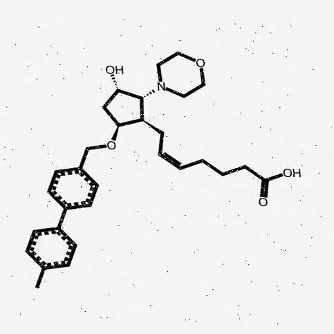 Cc1ccc(-c2ccc(CO[C@H]3C[C@H](O)[C@H](N4CCOCC4)[C@H]3C/C=C\CCCC(=O)O)cc2)cc1